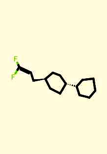 FC(F)=CC[C@H]1CC[C@H](C2CCCCC2)CC1